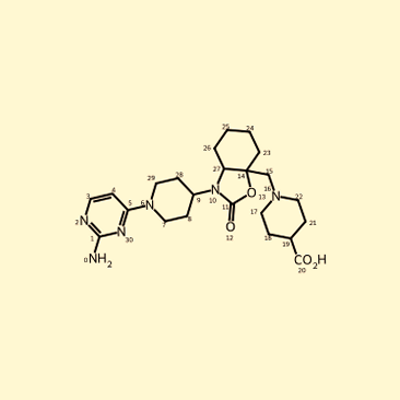 Nc1nccc(N2CCC(N3C(=O)OC4(CN5CCC(C(=O)O)CC5)CCCCC34)CC2)n1